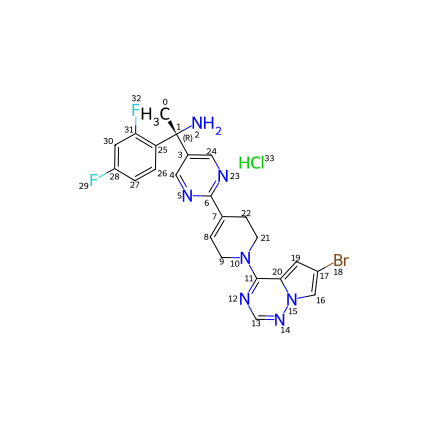 C[C@@](N)(c1cnc(C2=CCN(c3ncnn4cc(Br)cc34)CC2)nc1)c1ccc(F)cc1F.Cl